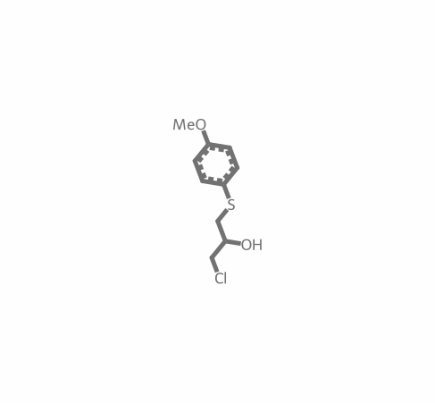 COc1ccc(SCC(O)CCl)cc1